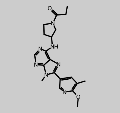 CCC(=O)N1CCC(Nc2ncnc3c2nc(-c2cnc(OC)c(C)c2)n3C)C1